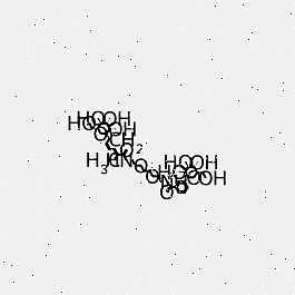 C=C(/C=C\C=C(/C)C(=O)NCCOCCOCCNC(=O)c1cccc([C@H]2O[C@H](CO)[C@@H](O)[C@H](O)[C@@H]2O)c1)[C@H]1O[C@H](CO)[C@@H](O)[C@H](O)[C@@H]1O